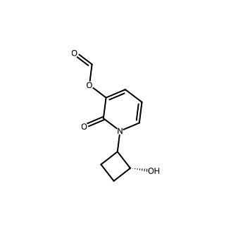 O=COc1cccn(C2CC[C@H]2O)c1=O